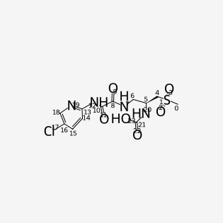 CS(=O)(=O)C[C@H](CNC(=O)C(=O)Nc1ccc(Cl)cn1)NC(=O)O